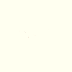 CCC(C)(C)C=CC(N)=O